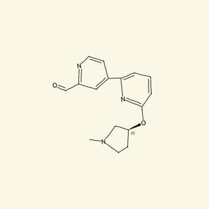 CN1CC[C@H](Oc2cccc(-c3ccnc(C=O)c3)n2)C1